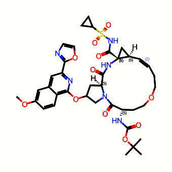 COc1ccc2c(OC3C[C@H]4C(=O)N[C@]5(C(=O)NS(=O)(=O)C6CC6)C[C@H]5/C=C\CCOCC[C@H](NC(=O)OC(C)(C)C)C(=O)N4C3)nc(-c3ncco3)cc2c1